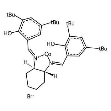 CC(C)(C)c1cc(C=[N+]2[Co][N+](=Cc3cc(C(C)(C)C)cc(C(C)(C)C)c3O)[C@@H]3CCCC[C@H]32)c(O)c(C(C)(C)C)c1.[Br-]